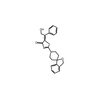 O=C1N=C(N2CCC3(CC2)OCc2ccccc23)S/C1=C(/CO)c1ccccc1